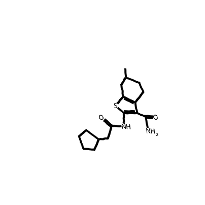 CC1CCc2c(sc(NC(=O)CC3CCCC3)c2C(N)=O)C1